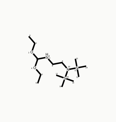 CCOC(OCC)[SiH2]CCN([Si](C)(C)C)[Si](C)(C)C